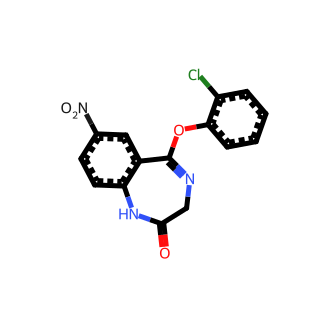 O=C1CN=C(Oc2ccccc2Cl)c2cc([N+](=O)[O-])ccc2N1